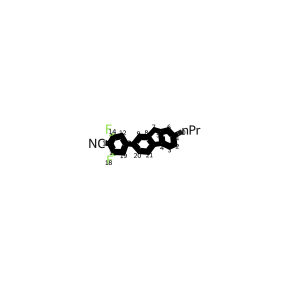 CCCc1ccc2c(c1)Cc1cc(-c3cc(F)c(C#N)c(F)c3)ccc1-2